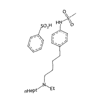 CCCCCCCN(CC)CCCCc1ccc(NS(C)(=O)=O)cc1.O=S(=O)(O)c1ccccc1